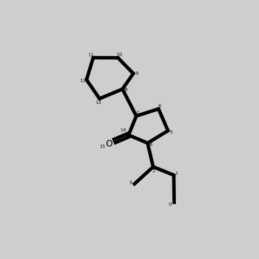 CCC(C)C1CCC(C2CCCCC2)C1=O